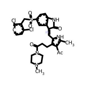 CC(=O)c1c(C)[nH]c(/C=C2\C(=O)Nc3ccc(S(=O)(=O)Cc4c(Cl)cccc4Cl)cc32)c1CCC(=O)N1CCN(C)CC1